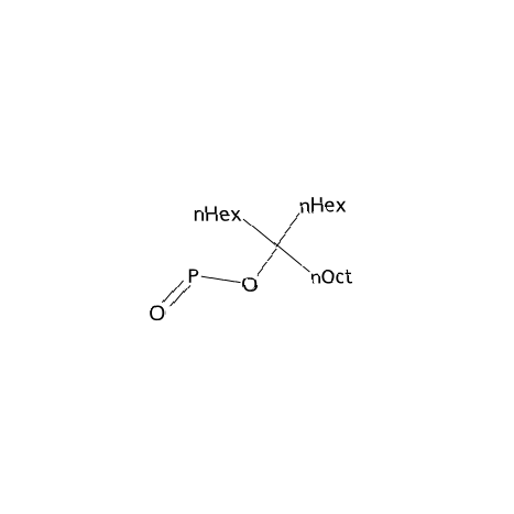 CCCCCCCCC(CCCCCC)(CCCCCC)OP=O